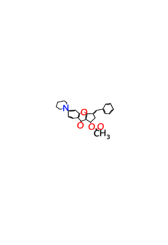 CC(=O)OC1CC(=Cc2ccccc2)c2oc3cc(N4CCCCC4)ccc3c(=O)c21